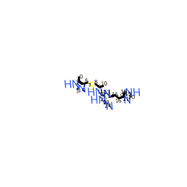 Cc1[nH]cnc1CSCC(C)NC(=NCCCc1c[nH]cn1)NC#N